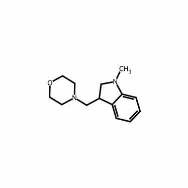 CN1CC(CN2CCOCC2)c2ccccc21